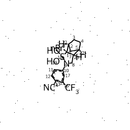 CCC[C@@]12[C@@H]3CC[C@@H](C3)[C@@H]1CN(c1ccc(C#N)c(C(F)(F)F)c1)S2(O)O